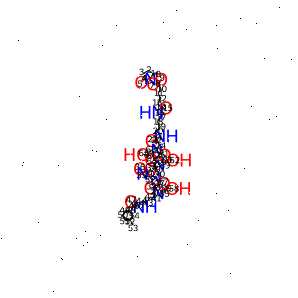 C=C1CCC(=O)N1OC(=O)CCCCC(=O)NCCCCNC(=O)CN(CCN(CCN(CC(=O)N=O)CC(=O)N(CCCCNC(=O)c1cccc(C)c1)CC(=O)O)CC(=O)O)CC(=O)O